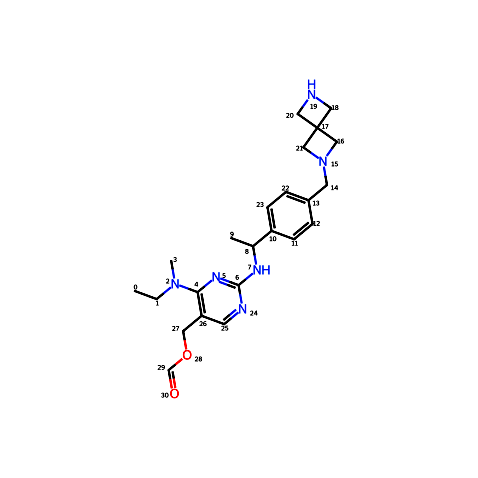 CCN(C)c1nc(NC(C)c2ccc(CN3CC4(CNC4)C3)cc2)ncc1COC=O